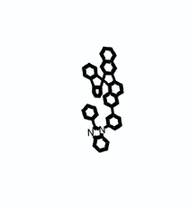 c1ccc(-c2nc3ccccc3n2-c2cccc(-c3ccc4c5c(ccc4c3)-c3cc4ccccc4cc3C53c4ccccc4-c4ccccc43)c2)cc1